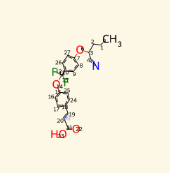 CCCC(C#N)Oc1ccc(C(F)(F)Oc2ccc(/C=C/C(=O)O)cc2)cc1